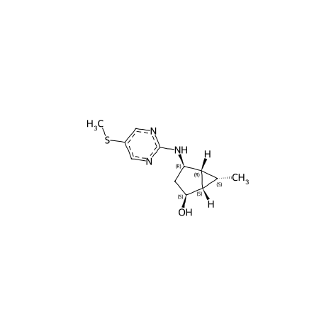 CSc1cnc(N[C@@H]2C[C@H](O)[C@H]3[C@@H](C)[C@H]32)nc1